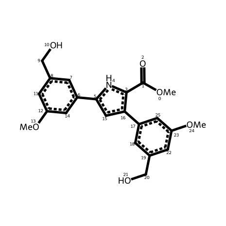 COC(=O)c1[nH]c(-c2cc(CO)cc(OC)c2)cc1-c1cc(CO)cc(OC)c1